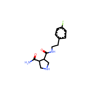 NC(=O)C1CNCC1C(=O)NCCc1ccc(F)cc1